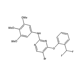 COc1cc(Nc2ncc(Br)c(Oc3ccccc3C(F)F)n2)cc(OC)c1OC